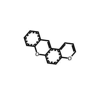 C1=COc2ccc3c(c2=C1)=Cc1ccccc1O3